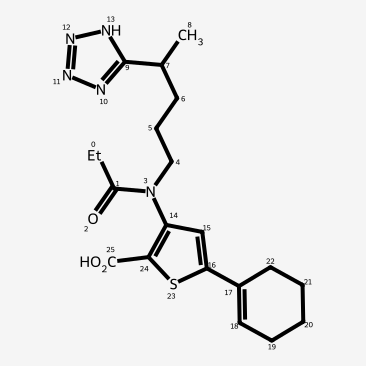 CCC(=O)N(CCCC(C)c1nnn[nH]1)c1cc(C2=CCCCC2)sc1C(=O)O